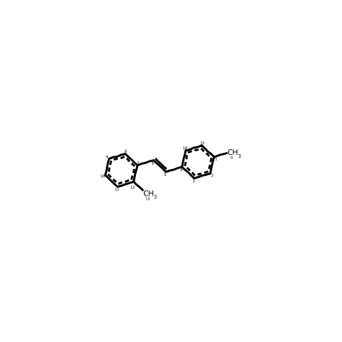 Cc1ccc(/C=C/c2ccccc2C)cc1